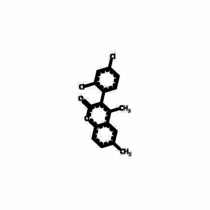 Cc1ccc2oc(=O)c(-c3ccc(Cl)cc3Cl)c(C)c2c1